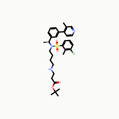 Cc1cnccc1-c1cccc([C@H](C)N(CCCCNCCC(=O)OC(C)(C)C)S(=O)(=O)c2cccc(Cl)c2C)c1